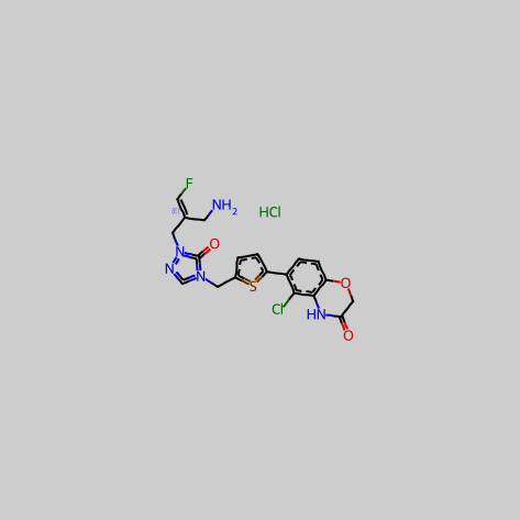 Cl.NC/C(=C\F)Cn1ncn(Cc2ccc(-c3ccc4c(c3Cl)NC(=O)CO4)s2)c1=O